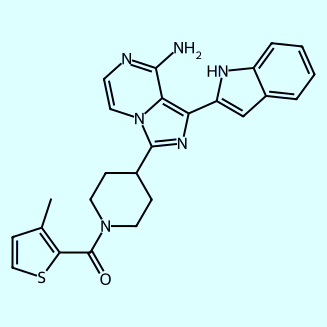 Cc1ccsc1C(=O)N1CCC(c2nc(-c3cc4ccccc4[nH]3)c3c(N)nccn23)CC1